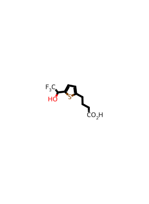 O=C(O)CCCc1ccc(C(O)C(F)(F)F)s1